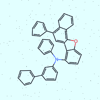 c1ccc(-c2cccc(N(c3ccccc3)c3cccc4oc5c6ccccc6c(-c6ccccc6)cc5c34)c2)cc1